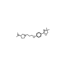 CN(C)C1CCN(CCCOc2ccc(C3=NC(C)(C)CO3)cc2)C1